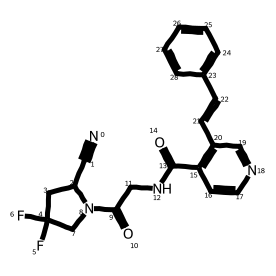 N#CC1CC(F)(F)CN1C(=O)CNC(=O)c1ccncc1C=Cc1ccccc1